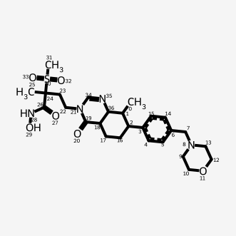 CC1C(c2ccc(CN3CCOCC3)cc2)CCC2C(=O)N(CCC(C)(C(=O)NO)S(C)(=O)=O)C=NC21